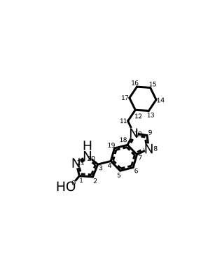 Oc1cc(-c2ccc3ncn(CC4CCCCC4)c3c2)[nH]n1